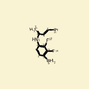 Bc1ccc(NC(=C)/C=C/C(C)C)c(F)c1F